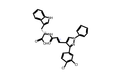 O=C(/C=C/c1cn(-c2ccccc2)nc1-c1ccc(Cl)c(Cl)c1)N[C@@H](Cc1c[nH]c2ccccc12)C(=O)O